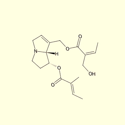 C/C=C(/CO)C(=O)OCC1=CCN2CC[C@@H](OC(=O)/C(C)=C/C)[C@@H]12